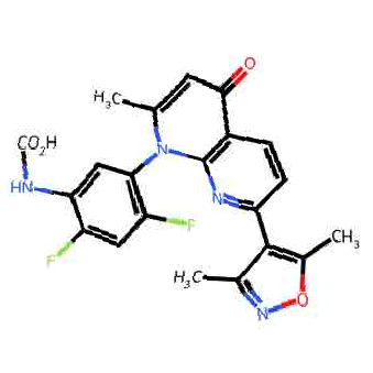 Cc1noc(C)c1-c1ccc2c(=O)cc(C)n(-c3cc(NC(=O)O)c(F)cc3F)c2n1